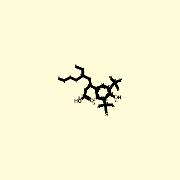 CCCCC(CC)CC(CC(=O)O)c1cc(C(C)(C)C)c(O)c(C(C)(C)C)c1